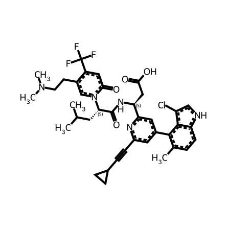 Cc1ccc2[nH]cc(Cl)c2c1-c1cc(C#CC2CC2)nc([C@H](CC(=O)O)NC(=O)[C@H](CC(C)C)n2cc(CCN(C)C)c(C(F)(F)F)cc2=O)c1